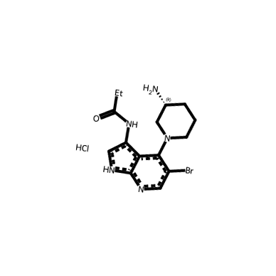 CCC(=O)Nc1c[nH]c2ncc(Br)c(N3CCC[C@@H](N)C3)c12.Cl